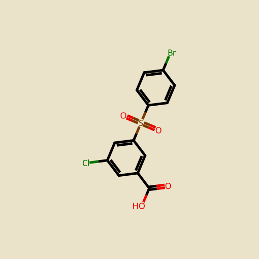 O=C(O)c1cc(Cl)cc(S(=O)(=O)c2ccc(Br)cc2)c1